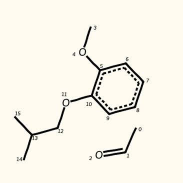 CC=O.COc1ccccc1OCC(C)C